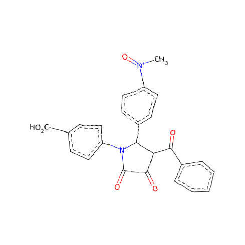 C[N+](=O)c1ccc(C2C(C(=O)c3ccccc3)C(=O)C(=O)N2c2ccc(C(=O)O)cc2)cc1